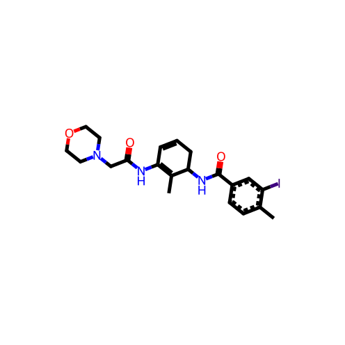 CC1=C(NC(=O)CN2CCOCC2)C=CCC1NC(=O)c1ccc(C)c(I)c1